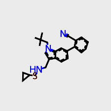 CC(C)(C)Cn1cc(CNSC2CC2)c2ccc(-c3ccccc3C#N)cc21